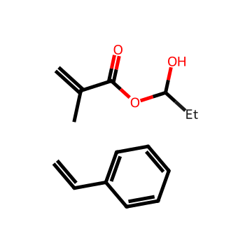 C=C(C)C(=O)OC(O)CC.C=Cc1ccccc1